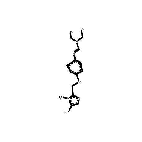 CC(C)CN(/C=N/c1ccc(OCc2ncc([N+](=O)[O-])n2C)cc1)CC(C)C